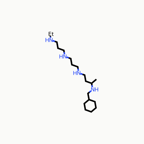 CCNCCCNCCCNCCC(C)NCC1CCCCC1